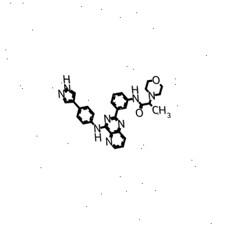 CC(C(=O)Nc1cccc(-c2nc(Nc3ccc(-c4cn[nH]c4)cc3)c3ncccc3n2)c1)N1CCOCC1